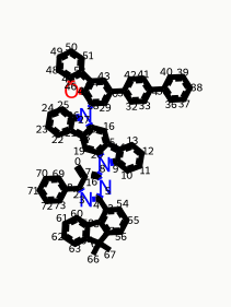 C=C/C(=N\C(=N/C(=C)n1c2ccccc2c2cc3c(cc21)c1ccccc1n3-c1cc(-c2ccc(-c3ccccc3)cc2)cc2c1oc1ccccc12)c1cccc2c1-c1ccccc1C2(C)C)c1ccccc1